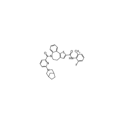 Cc1cccc(F)c1NC(=O)c1cc2c(s1)-c1ccccc1N(C(=O)c1cccc(N3CC4CCC(C4)C3)n1)CC2